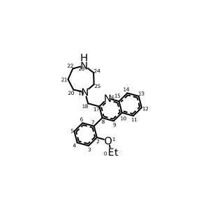 CCOc1ccccc1-c1cc2ccccc2nc1CN1CCCNCC1